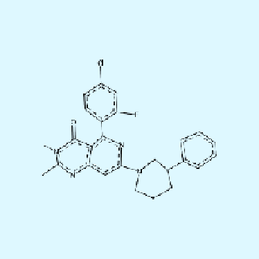 Cc1nc2cc(N3CCCC(c4ccccc4)C3)nc(-c3ccc(Cl)cc3F)c2c(=O)n1C